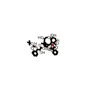 CC(=O)O[C@@]12CO[C@@H]1C[C@H](O)[C@@]1(C)OC[C@H](O)C3=C(C)[C@@H](OC(=O)[C@H](O)[C@@H](NC(=O)OC(C)(C)C)c4ccccc4)[C@@H]4OC(=O)O[C@]4([C@@H](OC(=O)c4ccccc4)[C@@H]12)C3(C)C